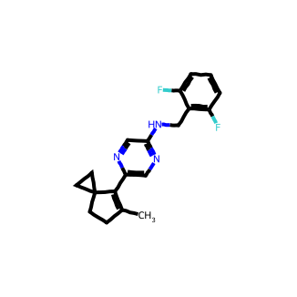 CC1=C(c2cnc(NCc3c(F)cccc3F)cn2)C2(CC1)CC2